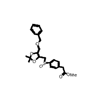 COC(=O)Cc1ccc([S+]([O-])CC2OC(C)(C)OC2COCc2ccccc2)cc1